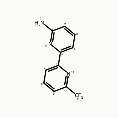 Nc1cccc(-c2cccc(C(F)(F)F)n2)n1